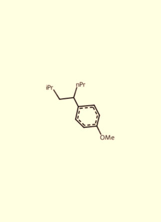 CCCC(CC(C)C)c1ccc(OC)cc1